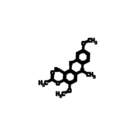 COc1ccc2c(c1)Sc1c(cc(OC)c(OC(C)=O)c1Br)N2C